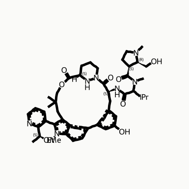 CCn1c(-c2cccnc2[C@H](C)OC)c2c3cc(ccc31)-c1cc(O)cc(c1)C[C@H](NC(=O)C(C(C)C)N(C)C(=O)[C@H]1CCN(C)[C@H]1CO)C(=O)N1CCC[C@H](N1)C(=O)OCC(C)(C)C2